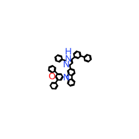 C1=CC(c2cc(-n3c4ccccc4c4ccc(C5=NC(c6ccccc6)NC(c6cccc(-c7ccccc7)c6)=C5)cc43)cc3c2oc2ccccc23)=CCC1